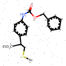 CCOC(=O)C(CSC(C)=O)c1ccc(NC(=O)OCc2ccccc2)cc1